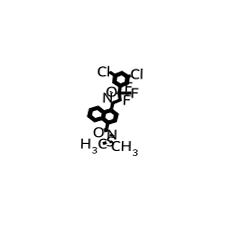 CS(C)=NC(=O)c1ccc(C2=NOC(c3cc(Cl)cc(Cl)c3)(C(F)(F)F)C2)c2ccccc12